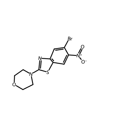 O=[N+]([O-])c1cc2sc(N3CCOCC3)nc2cc1Br